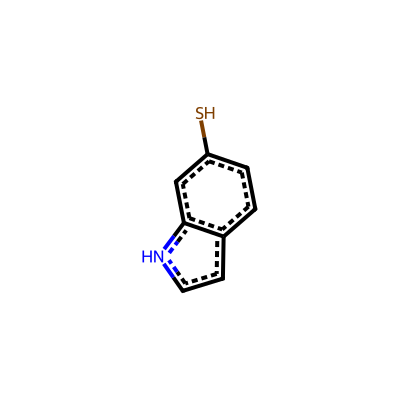 Sc1ccc2cc[nH]c2c1